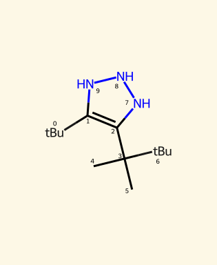 CC(C)(C)C1=C(C(C)(C)C(C)(C)C)NNN1